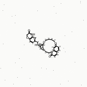 O=C1COc2ccc(CN[C@@H]3CN4CCn5c(=O)ccc6ccc(cc65)OCCCCO[C@@H]3C4)nc2N1